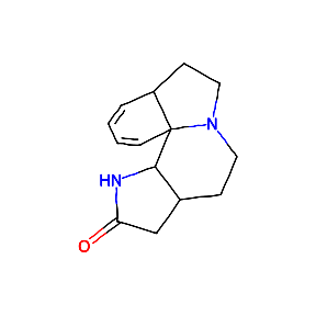 O=C1CC2CCN3CCC4C=CC=CC43C2N1